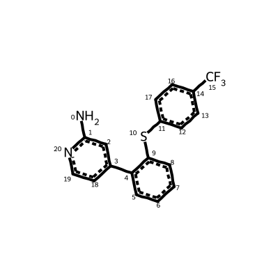 Nc1cc(-c2ccccc2Sc2ccc(C(F)(F)F)cc2)ccn1